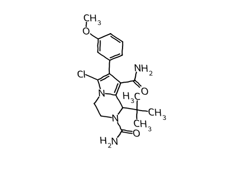 COc1cccc(-c2c(C(N)=O)c3n(c2Cl)CCN(C(N)=O)C3C(C)(C)C)c1